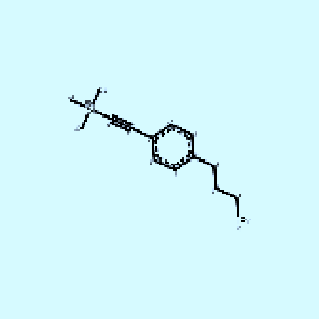 CC(C)CCCc1ccc(C#C[Si](C)(C)C)cc1